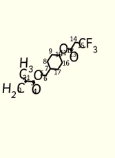 C=C(C)C(=O)OCC1CCC(OC(=O)CC(F)(F)F)CC1